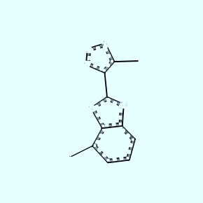 Cc1nonc1-c1nc2c(Cl)cccc2[nH]1